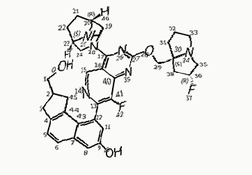 OCC1Cc2ccc3cc(O)cc(-c4ncc5c(N6C[C@H]7CC[C@@H](C6)N7)nc(OC[C@@]67CCCN6C[C@H](F)C7)nc5c4F)c3c2C1